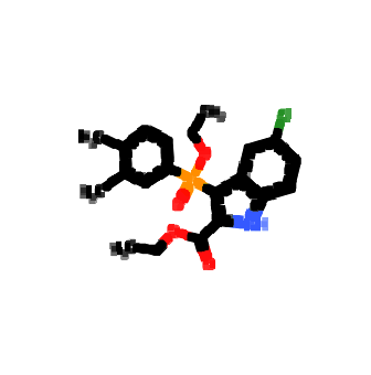 CCOC(=O)c1[nH]c2ccc(Cl)cc2c1P(=O)(OCC)c1ccc(C)c(C)c1